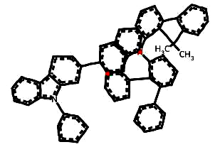 CC1(C)c2ccccc2-c2cccc(N(c3ccc(-c4ccc5c6ccccc6n(-c6ccccc6)c5c4)cc3)c3cccc(-c4ccccc4)c3-c3ccccc3-c3ccccc3)c21